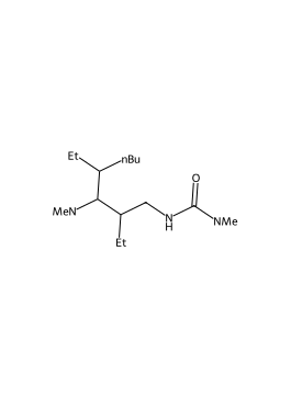 CCCCC(CC)C(NC)C(CC)CNC(=O)NC